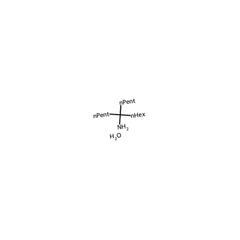 CCCCCCC(N)(CCCCC)CCCCC.O